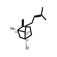 C=C1CC[C@H]2C[C@@H]1[C@@]2(C)CCC=C(C)C